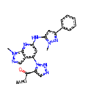 COC(=O)c1cnnn1-c1cc(Nc2cc(-c3ccccc3)nn2C)nc2c1cnn2C